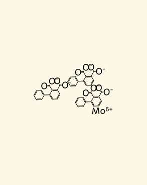 O=C([O-])c1cccc(-c2ccccc2)c1C(=O)[O-].O=C([O-])c1cccc(-c2ccccc2)c1C(=O)[O-].O=C([O-])c1cccc(-c2ccccc2)c1C(=O)[O-].[Mo+6]